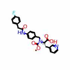 COC(=O)N(Cc1ccc(NC(=O)Cc2ccc(F)cc2)cc1)[C@@H](Cc1cccnc1)C(=O)O